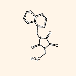 O=C(O)CN1C(=O)C(=O)N(Cc2cccc3ccccc23)C1=O